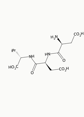 CC(C)[C@H](NC(=O)[C@H](CC(=O)O)NC(=O)[C@@H](N)CC(=O)O)C(=O)O